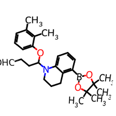 Cc1cccc(OC(CCC=O)N2CCCc3c(B4OC(C)(C)C(C)(C)O4)cccc32)c1C